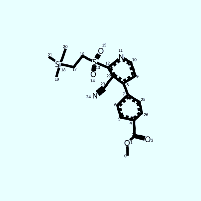 COC(=O)c1ccc(-c2ccnc(S(=O)(=O)CC[Si](C)(C)C)c2C#N)cc1